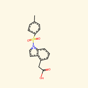 Cc1ccc(S(=O)(=O)n2ccc3c(CC(=O)O)cccc32)cc1